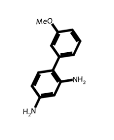 COc1cccc(-c2ccc(N)cc2N)c1